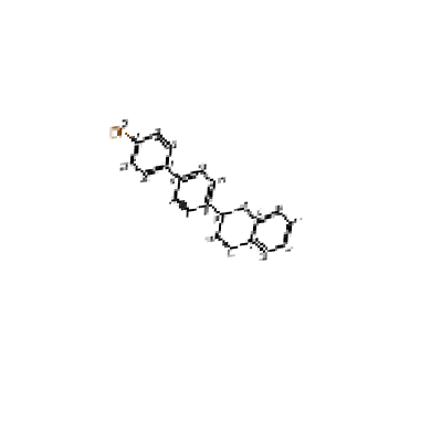 Brc1ccc(-c2ccc(C3C[CH]c4ccccc4C3)cc2)cc1